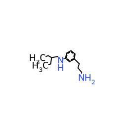 CCC(CC)CNc1cccc(CCCN)c1